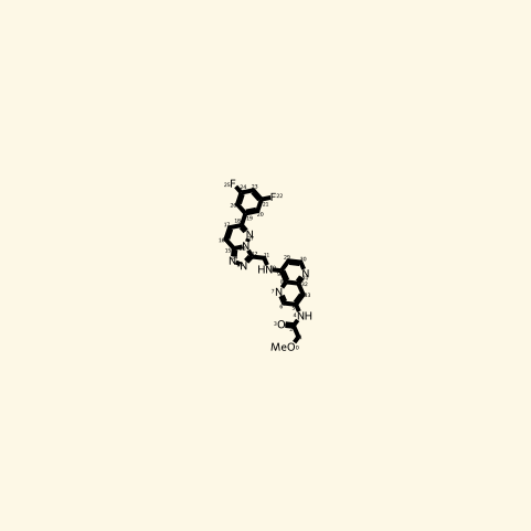 COCC(=O)Nc1cnc2c(NCc3nnc4ccc(-c5cc(F)cc(F)c5)nn34)ccnc2c1